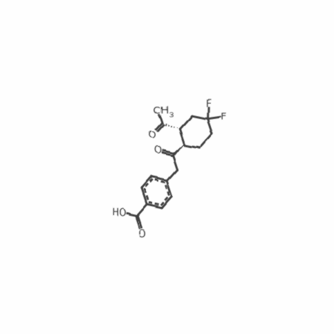 CC(=O)[C@@H]1CC(F)(F)CC[C@H]1C(=O)Cc1ccc(C(=O)O)cc1